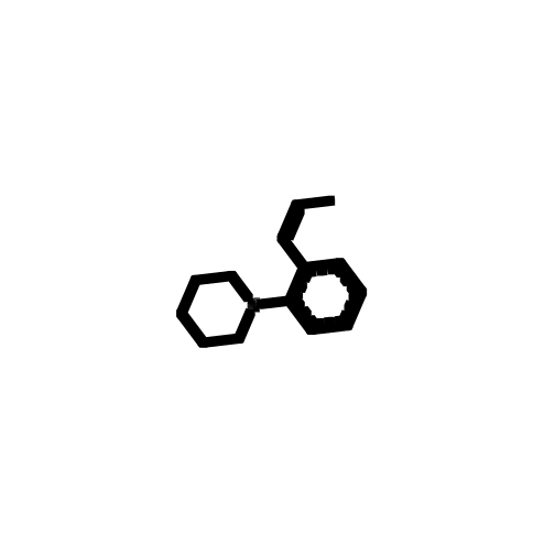 C/C=C\c1ccccc1N1CCCCC1